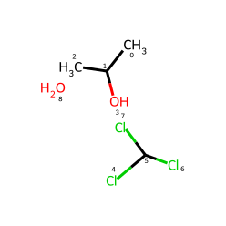 CC(C)O.ClC(Cl)Cl.O